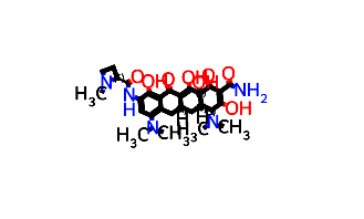 CN(C)c1cc(NC(=O)[C@@H]2CCN2C)c(O)c2c1C[C@H]1C[C@H]3[C@H](N(C)C)C(O)=C(C(N)=O)C(=O)[C@@]3(O)C(O)=C1C2=O